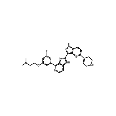 CN(C)CCOc1cc(F)cc(-c2nccc3[nH]c(-c4n[nH]c5ccc(C6=CCNCC6)nc45)nc23)c1